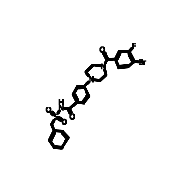 O=C(NS(=O)(=O)Cc1ccccc1)c1ccc(N2CCN(C(=O)c3ccc(Br)c(F)c3)CC2)cc1